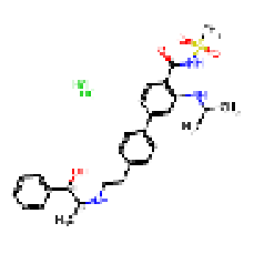 CC(C)Nc1cc(-c2ccc(CCN[C@@H](C)[C@H](O)c3ccccc3)cc2)ccc1C(=O)NS(C)(=O)=O.Cl.Cl